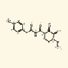 CCN1CCN(C(=O)NC(=O)Cc2ccc(O)cc2)C(=O)C1=O